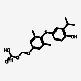 Cc1cc(OCO[PH](=O)O)cc(C)c1Sc1ccc(O)c(C(C)C)c1